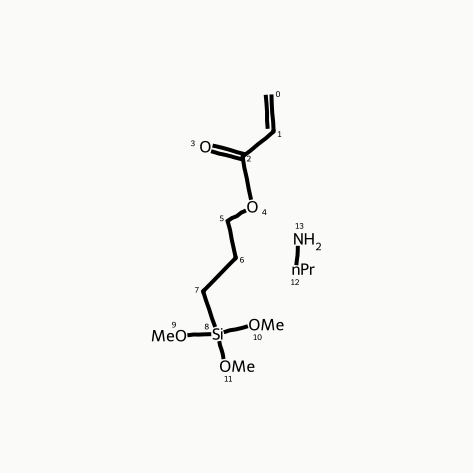 C=CC(=O)OCCC[Si](OC)(OC)OC.CCCN